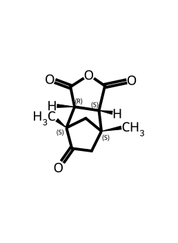 C[C@@]12CC(=O)[C@@](C)(C1)[C@@H]1C(=O)OC(=O)[C@@H]12